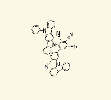 N#Cc1ccc(-c2cc(C#N)c(C#N)c(C#N)c2-n2c3ccccc3c3cc4c(cc32)c2ccccc2n4-c2ccccc2)cc1-n1c2ccccc2c2ccccc21